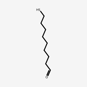 O=CCCCCCCCCS